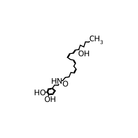 CCCCC[C@H](O)/C=C/C=C\C/C=C\C/C=C\CCCC(=O)NCCc1ccc(O)c(O)c1